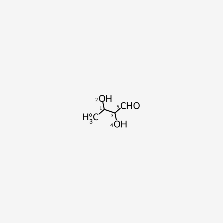 CC(O)C(O)C=O